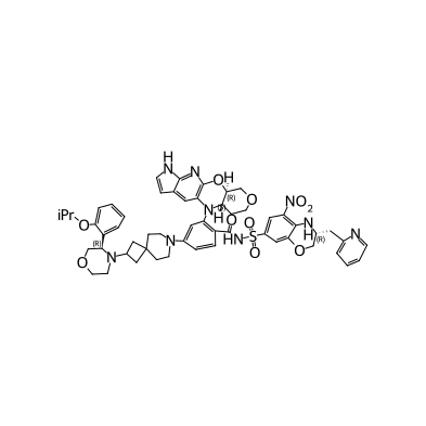 CC(C)Oc1ccccc1[C@@H]1COCCN1C1CC2(CCN(c3ccc(C(=O)NS(=O)(=O)c4cc5c(c([N+](=O)[O-])c4)N[C@H](Cc4ccccn4)CO5)c(N4c5cc6cc[nH]c6nc5O[C@H]5COCC[C@@H]54)c3)CC2)C1